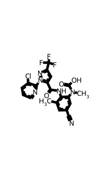 Cc1cc(C#N)cc(N(C)C(=O)O)c1NC(=O)c1cc(C(F)(F)F)nn1-c1ncccc1Cl